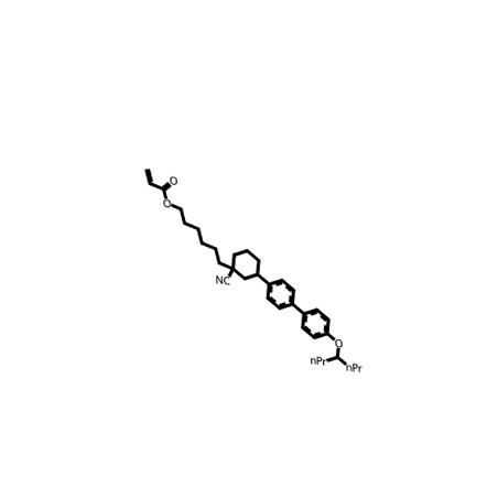 C=CC(=O)OCCCCCCC1(C#N)CCCC(c2ccc(-c3ccc(OC(CCC)CCC)cc3)cc2)C1